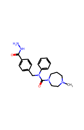 CN1CCCN(C(=O)N(Cc2ccc(C(=O)NN)cc2)c2ccccc2)CC1